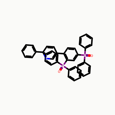 O=P(c1ccccc1)(c1ccccc1)c1ccc(-c2ccc(-c3ccccc3)nc2)c(P(=O)(c2ccccc2)c2ccccc2)c1